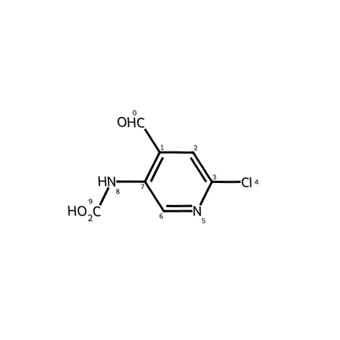 O=Cc1cc(Cl)ncc1NC(=O)O